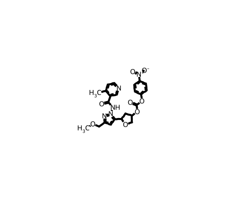 COCc1cc(C2CC(OC(=O)Oc3ccc([N+](=O)[O-])cc3)CO2)n(NC(=O)c2cnccc2C)n1